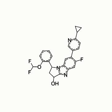 OC1CC(c2ccccc2OC(F)F)n2c1nc1cc(F)c(-c3ccc(C4CC4)nc3)cc12